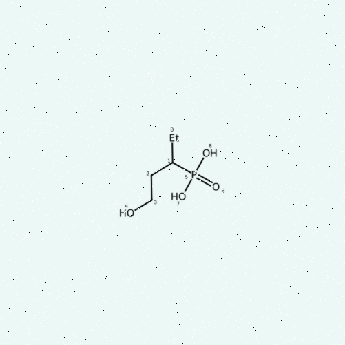 [CH2]CC(CCO)P(=O)(O)O